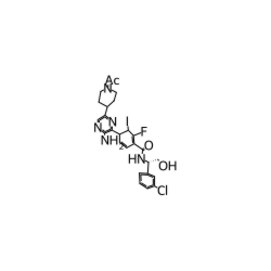 CC(=O)N1CCC(c2cnc(N)c(C3C=CC(C(=O)N[C@H](CO)c4cccc(Cl)c4)=C(F)C3I)n2)CC1